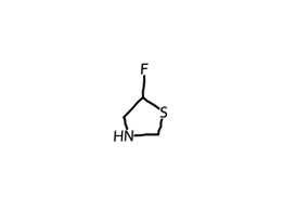 FC1CNCS1